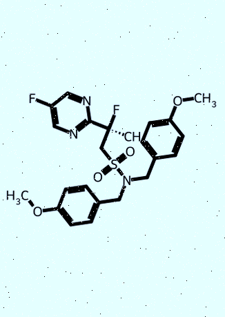 COc1ccc(CN(Cc2ccc(OC)cc2)S(=O)(=O)C[C@](C)(F)c2ncc(F)cn2)cc1